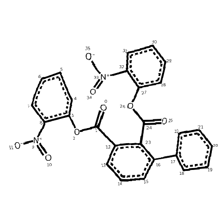 O=C(Oc1ccccc1[N+](=O)[O-])c1cccc(-c2ccccc2)c1C(=O)Oc1ccccc1[N+](=O)[O-]